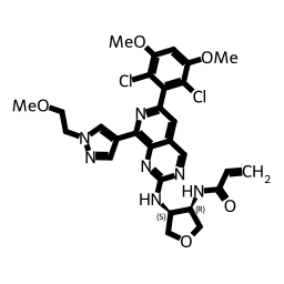 C=CC(=O)N[C@H]1COC[C@H]1Nc1ncc2cc(-c3c(Cl)c(OC)cc(OC)c3Cl)nc(-c3cnn(CCOC)c3)c2n1